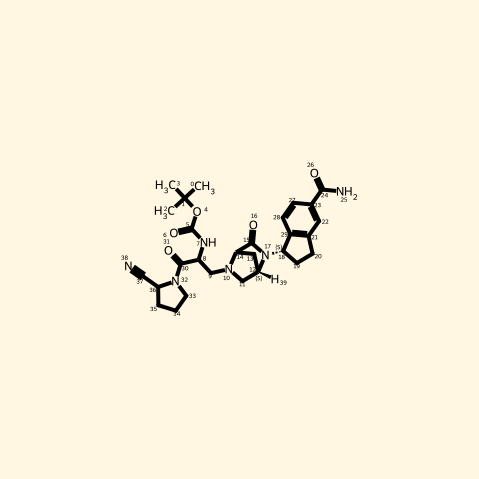 CC(C)(C)OC(=O)NC(CN1C[C@@H]2CC1C(=O)N2[C@H]1CCc2cc(C(N)=O)ccc21)C(=O)N1CCCC1C#N